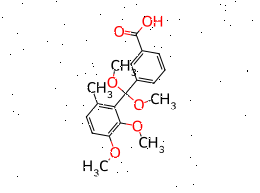 COc1ccc(C)c(C(OC)(OC)c2cccc(C(=O)O)c2)c1OC